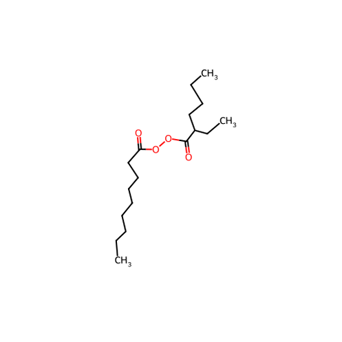 CCCCCCCCC(=O)OOC(=O)C(CC)CCCC